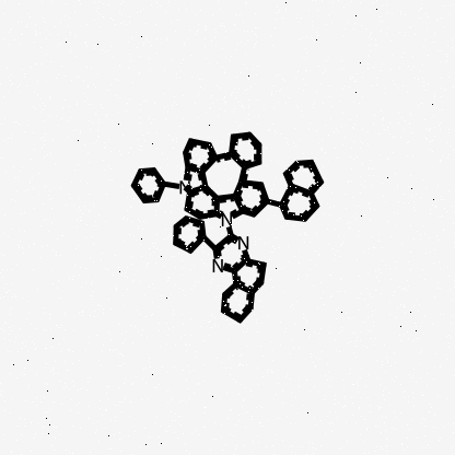 c1ccc(-c2nc3c(ccc4ccccc43)nc2-n2c3cc(-c4cccc5ccccc45)cc4c5ccccc5c5cccc6c5c5c(c43)c2ccc5n6-c2ccccc2)cc1